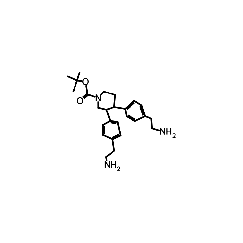 CC(C)(C)OC(=O)N1CCC(c2ccc(CCN)cc2)C(c2ccc(CCN)cc2)C1